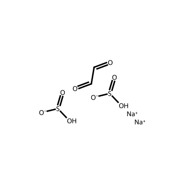 O=CC=O.O=S([O-])O.O=S([O-])O.[Na+].[Na+]